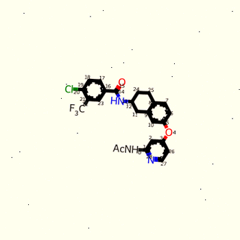 CC(=O)Nc1cc(Oc2ccc3c(c2)CC(NC(=O)c2ccc(Cl)c(C(F)(F)F)c2)CC3)ccn1